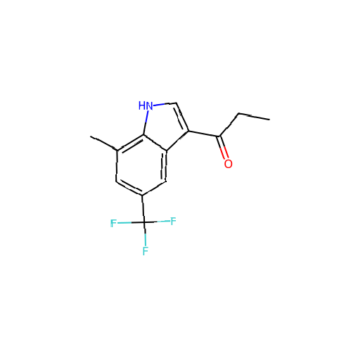 CCC(=O)c1c[nH]c2c(C)cc(C(F)(F)F)cc12